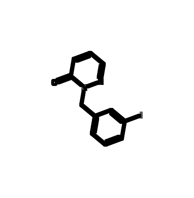 O=c1cccnn1Cc1cccc(I)c1